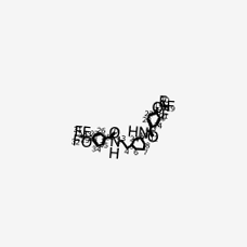 O=C(NCCC1CCCC(NC(=O)c2ccc(OC(F)(F)F)cc2)C1)c1ccc(OC(F)(F)F)cc1